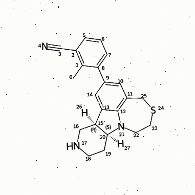 Cc1c(C#N)cccc1-c1cc2c3c(c1)[C@@H]1CNCC[C@@H]1N3CCSC2